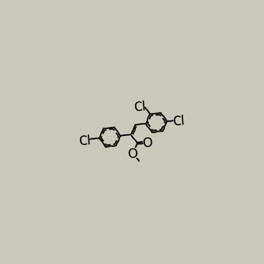 COC(=O)/C(=C\c1ccc(Cl)cc1Cl)c1ccc(Cl)cc1